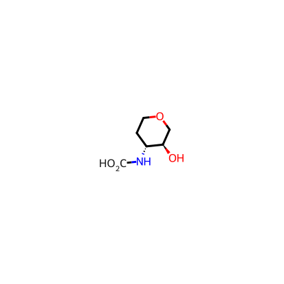 O=C(O)N[C@@H]1CCOC[C@H]1O